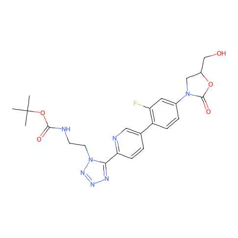 CC(C)(C)OC(=O)NCCn1nnnc1-c1ccc(-c2ccc(N3CC(CO)OC3=O)cc2F)cn1